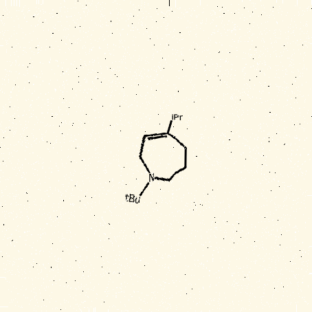 CC(C)C1=CCN(C(C)(C)C)CCC1